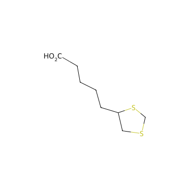 O=C(O)CCCCC1CSCS1